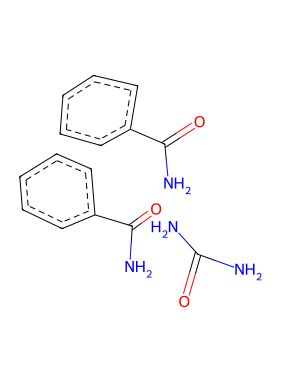 NC(=O)c1ccccc1.NC(=O)c1ccccc1.NC(N)=O